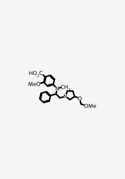 COCOC1CCN(CC(c2ccccc2)N(C)c2ccc(C(=O)O)c(OC)c2)C1